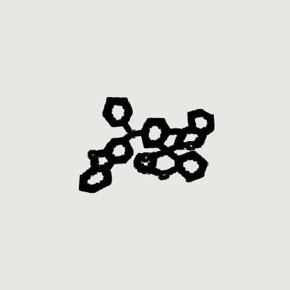 c1ccc(N(c2ccc3c(c2)C2(c4ccccc4Oc4ccccc42)c2ccc4ccccc4c2-3)c2ccc3c(c2)oc2ccccc23)cc1